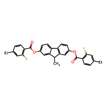 CCc1ccc(C(=O)Oc2ccc3c(c2)C(C)c2cc(OC(=O)c4ccc(CC)cc4F)ccc2-3)c(F)c1